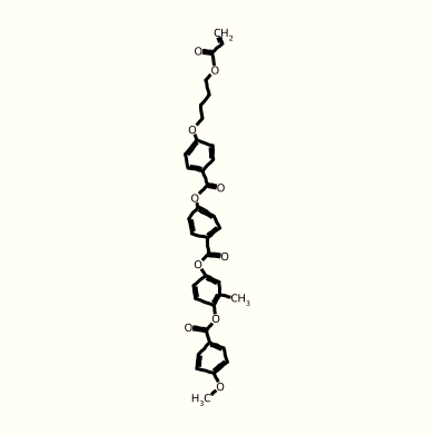 C=CC(=O)OCCCCOc1ccc(C(=O)Oc2ccc(C(=O)Oc3ccc(OC(=O)c4ccc(OC)cc4)c(C)c3)cc2)cc1